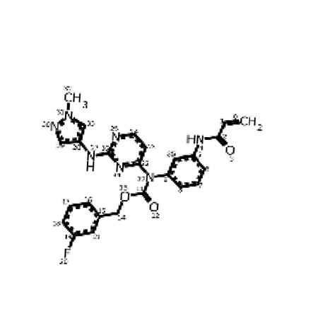 C=CC(=O)Nc1cccc(N(C(=O)OCc2cccc(F)c2)c2ccnc(Nc3cnn(C)c3)n2)c1